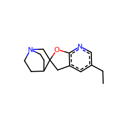 CCc1cnc2c(c1)CC1(CN3CCC1CC3)O2